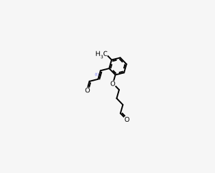 Cc1cccc(OCCCC=O)c1/C=C/C=O